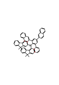 CC1(C)c2ccccc2-c2ccc(N(c3cccc4c3-c3ccccc3C4(C)C)c3c(-c4ccccc4)cc(-c4ccc5ccccc5c4)cc3-c3ccc4ccccc4c3)cc21